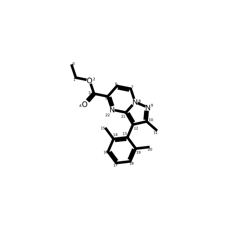 CCOC(=O)c1ccn2nc(C)c(-c3c(C)cccc3C)c2n1